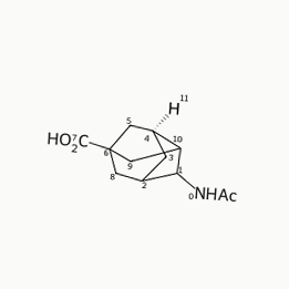 CC(=O)NC1C2C[C@H]3CC(C(=O)O)(C2)CC13